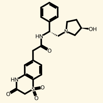 O=C1CS(=O)(=O)c2ccc(CC(=O)N[C@@H](CN3CC[C@@H](O)C3)c3ccccc3)cc2N1